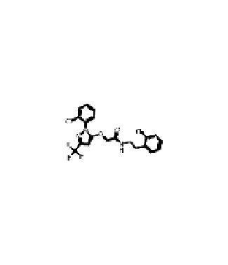 O=C(COc1cc(C(F)(F)F)nn1-c1ccccc1Cl)NCCc1ccccc1Cl